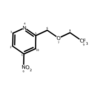 O=[N+]([O-])c1ccnc(COCC(F)(F)F)c1